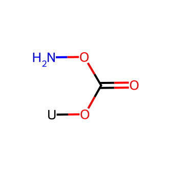 NOC(=O)[O][U]